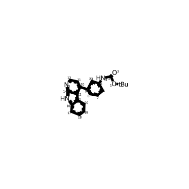 CC(C)(C)OC(=O)Nc1cccc(-c2ccnc3[nH]c4ccccc4c23)c1